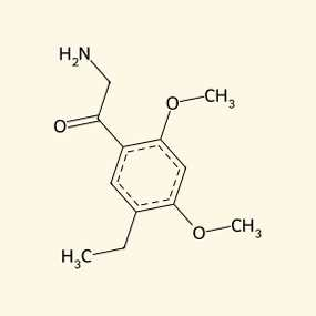 CCc1cc(C(=O)CN)c(OC)cc1OC